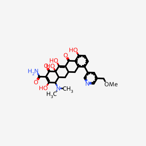 COCc1cncc(-c2ccc(O)c3c2CC2CC4C(N(C)C)C(O)=C(C(N)=O)C(=O)C4(O)C(O)=C2C3=O)c1